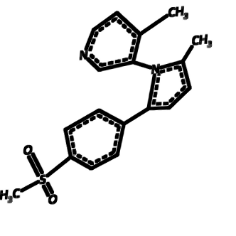 Cc1ccncc1-n1c(C)ccc1-c1ccc(S(C)(=O)=O)cc1